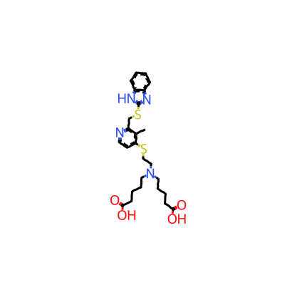 Cc1c(SCCN(CCCCC(=O)O)CCCCC(=O)O)ccnc1CSc1nc2ccccc2[nH]1